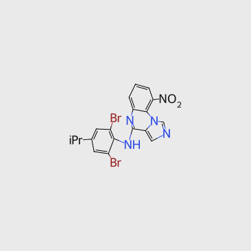 CC(C)c1cc(Br)c(Nc2nc3cccc([N+](=O)[O-])c3n3cncc23)c(Br)c1